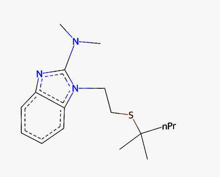 CCCC(C)(C)SCCn1c(N(C)C)nc2ccccc21